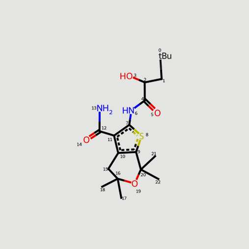 CC(C)(C)CC(O)C(=O)Nc1sc2c(c1C(N)=O)CC(C)(C)OC2(C)C